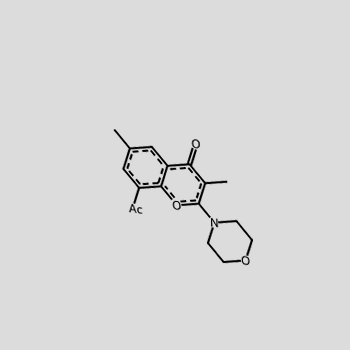 CC(=O)c1cc(C)cc2c(=O)c(C)c(N3CCOCC3)oc12